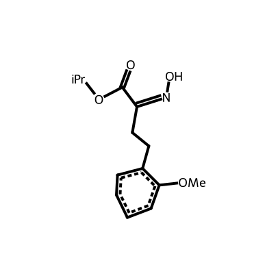 COc1ccccc1CCC(=NO)C(=O)OC(C)C